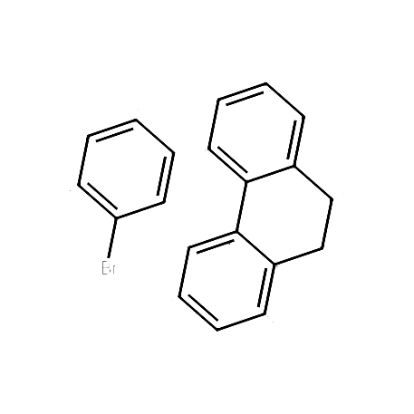 Brc1ccccc1.c1ccc2c(c1)CCc1ccccc1-2